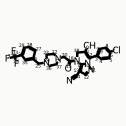 CC1=C(c2ccc(Cl)cc2)n2ncc(C#N)c2N(C(=O)CN2CCN(Cc3cccc(C(F)(F)F)c3)CC2)C1